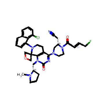 CN1CCC[C@H]1Cn1c2c(c(N3CCN(C(=O)/C=C/CF)[C@@H](CC#N)C3)nc1=O)CCN(c1cccc3cccc(Cl)c13)C21COC1